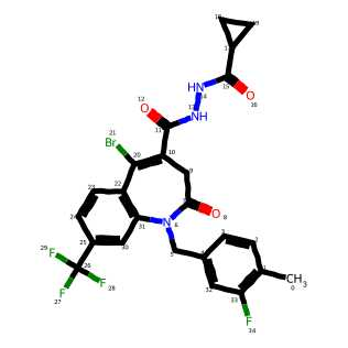 Cc1ccc(CN2C(=O)CC(C(=O)NNC(=O)C3CC3)=C(Br)c3ccc(C(F)(F)F)cc32)cc1F